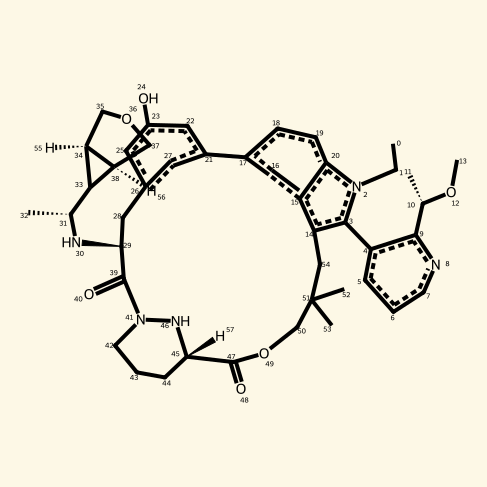 CCn1c(-c2cccnc2[C@H](C)OC)c2c3cc(ccc31)-c1cc(O)cc(c1)C[C@H](N[C@H](C)C1[C@H]3COC[C@@H]13)C(=O)N1CCC[C@H](N1)C(=O)OCC(C)(C)C2